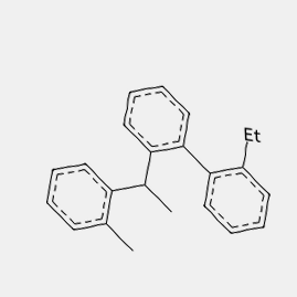 CCc1ccccc1-c1ccccc1C(C)c1ccccc1C